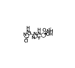 CCNC(=O)[C@@]1(O)CCCC(Nc2nc(-c3c[nH]c4ncc(Cl)cc34)ncc2F)C1